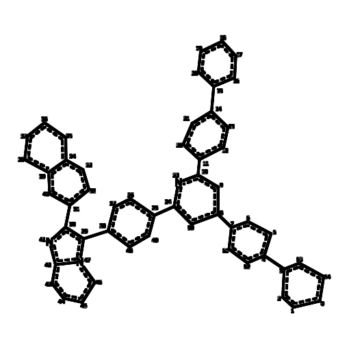 c1ccc(-c2ccc(-c3cc(-c4ccc(-c5ccccc5)cc4)nc(-c4ccc(-c5c(-c6ccc7ccccc7c6)nc6ccccn56)cc4)c3)cc2)cc1